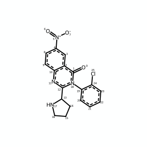 O=c1c2cc([N+](=O)[O-])ccc2nc(C2CCCN2)n1-c1ccccc1Cl